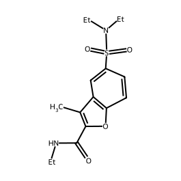 CCNC(=O)c1oc2ccc(S(=O)(=O)N(CC)CC)cc2c1C